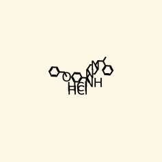 CC(CN1CCN(C(=N)c2ccc(OCc3ccccc3)cc2)CC1)c1ccccc1.Cl.Cl